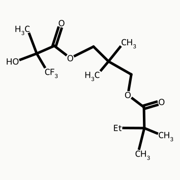 CCC(C)(C)C(=O)OCC(C)(C)COC(=O)C(C)(O)C(F)(F)F